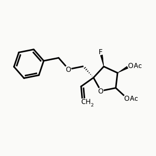 C=C[C@]1(COCc2ccccc2)OC(OC(C)=O)[C@H](OC(C)=O)[C@@H]1F